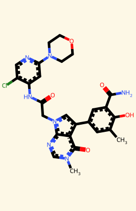 Cc1cc(-c2cn(CC(=O)Nc3cc(N4CCOCC4)ncc3Cl)c3ncn(C)c(=O)c23)cc(C(N)=O)c1O